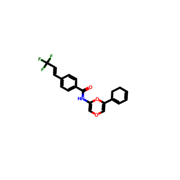 O=C(NC1=COC=C(C2=CC=CCC2)O1)c1ccc(C=CC(F)(F)F)cc1